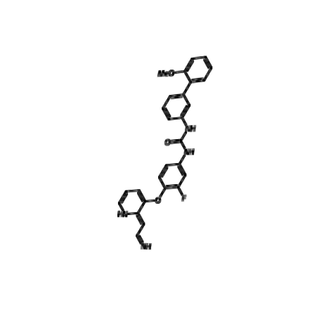 COc1ccccc1-c1cccc(NC(=O)Nc2ccc(OC3=CC=CN/C3=C\C=N)c(F)c2)c1